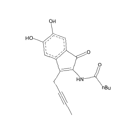 CC#CCC1=C(NC(=O)CCCC)C(=O)c2cc(O)c(O)cc21